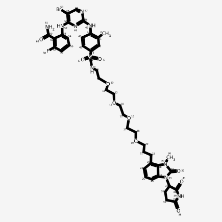 Cc1cc(S(=O)(=O)NCCOCCOCCOCCOCCCc2cccc3c2n(C)c(=O)n3C2CCC(=O)NC2=O)ccc1Nc1ncc(Br)c(Nc2cccc(F)c2C(N)=O)n1